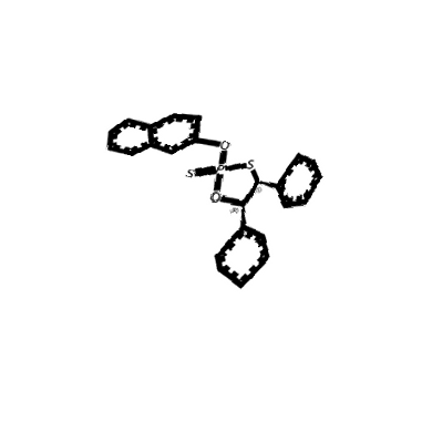 S=P1(Oc2ccc3ccccc3c2)O[C@H](c2ccccc2)[C@H](c2ccccc2)S1